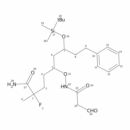 CC(F)(CCC(CC([CH]Cc1ccccc1)O[Si](C)(C)C(C)(C)C)ONC(=O)CC=O)C(N)=O